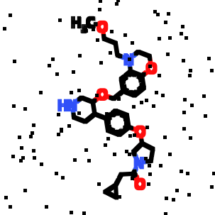 COCCCN1CCOc2ccc(COC3CNCCC3c3ccc(OC4CCN(C(=O)CC5CC5)C4)cc3)cc21